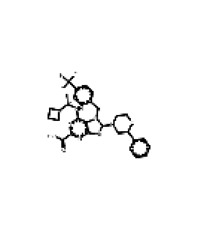 C[C@@H](Nc1nc(C(=O)O)nc2c1N(Cc1ccc(C(F)(F)F)cc1)C(N1CCOC(c3ccccc3)C1)N2)C1CCC1